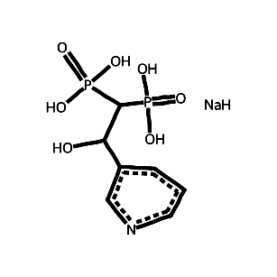 O=P(O)(O)C(C(O)c1cccnc1)P(=O)(O)O.[NaH]